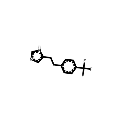 FC(F)(F)c1ccc(CCc2cnc[nH]2)cc1